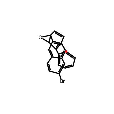 Brc1ccc2cc(C34C=CC5=C(c6ccccc65)C3O4)ccc2c1